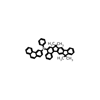 CC1(C)c2ccccc2-c2cc3c(cc21)-c1c(cc(N(c2ccccc2)c2ccc4ccc5ccccc5c4c2)c2ccccc12)C3(C)C